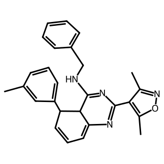 Cc1cccc(C2C=CC=C3N=C(c4c(C)noc4C)N=C(NCc4ccccc4)C32)c1